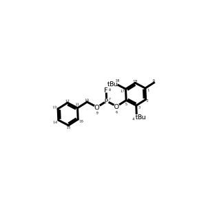 Cc1cc(C(C)(C)C)c(OP(F)OCc2ccccc2)c(C(C)(C)C)c1